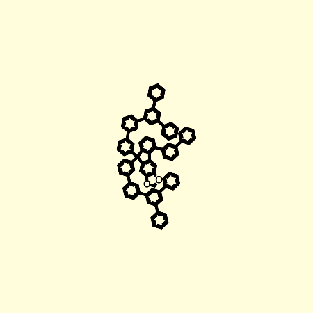 c1ccc(-c2cc(-c3ccccc3)cc(-c3cccc(-c4cccc(C5(c6cccc(-c7cccc(-c8cc(-c9ccccc9)cc(-c9ccccc9)c8)c7)c6)c6cc7c(cc6-c6c(-c8cccc(-c9ccccc9)c8)cccc65)OCO7)c4)c3)c2)cc1